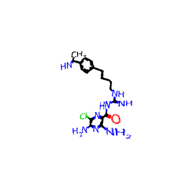 CC(=N)c1ccc(CCCCNC(=N)NC(=O)c2nc(Cl)c(N)nc2N)cc1